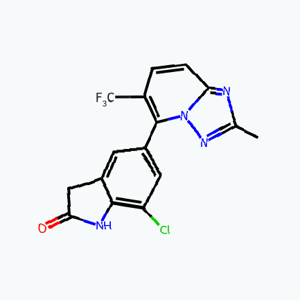 Cc1nc2ccc(C(F)(F)F)c(-c3cc(Cl)c4c(c3)CC(=O)N4)n2n1